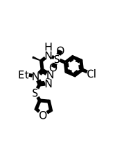 CCn1c(SC2CCOC2)nnc1[C@@H](C)NS(=O)(=O)c1ccc(Cl)cc1